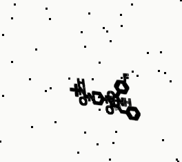 CC(C)(C)NC(=O)N1CCC(NC(=O)[C@H](Cc2ccccc2)NC(=O)c2ccc(F)cc2)CC1